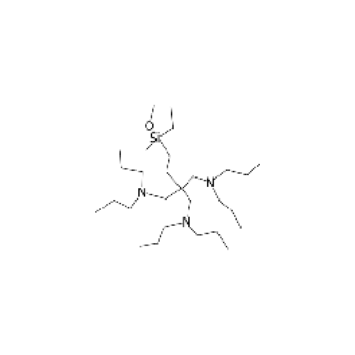 CCCN(CCC)CC(CC[Si](C)(CC)OC)(CN(CCC)CCC)CN(CCC)CCC